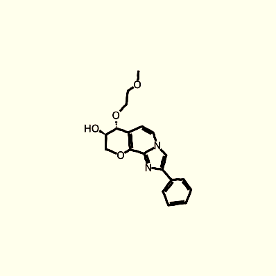 COCCO[C@@H]1c2ccn3cc(-c4ccccc4)nc3c2OC[C@H]1O